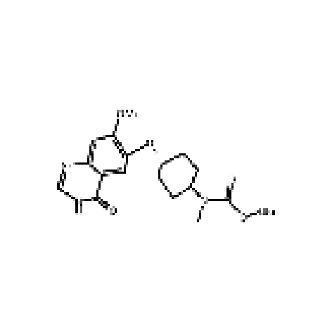 COc1cc2nc[nH]c(=O)c2cc1O[C@H]1CC[C@H](N(C)C(=O)OC(C)(C)C)CC1